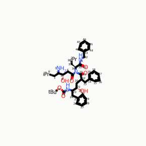 CC(C)CC(N)[C@@H](O)CC(=O)N(C(=O)C(Cc1ccccc1)C[C@H](O)C(Cc1ccccc1)NC(=O)OC(C)(C)C)[C@@H](CC(C)C)C(=O)NCc1ccccc1